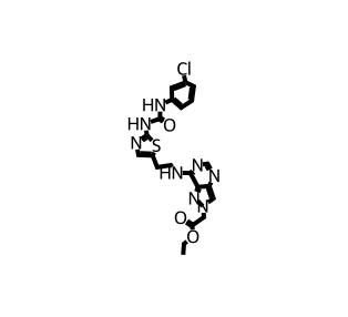 CCOC(=O)Cn1cc2ncnc(NCCc3cnc(NC(=O)Nc4cccc(Cl)c4)s3)c2n1